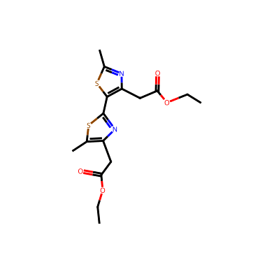 CCOC(=O)Cc1nc(-c2sc(C)nc2CC(=O)OCC)sc1C